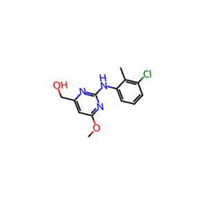 COc1cc(CO)nc(Nc2cccc(Cl)c2C)n1